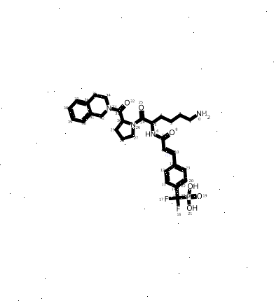 NCCCCC(NC(=O)/C=C/c1ccc(C(F)(F)P(=O)(O)O)cc1)C(=O)N1CCCC1C(=O)N1CCc2ccccc2C1